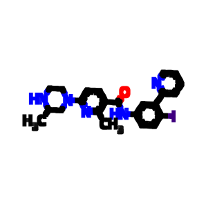 Cc1nc(N2CCNC(C)C2)ccc1C(=O)Nc1ccc(I)c(-c2ccccn2)c1